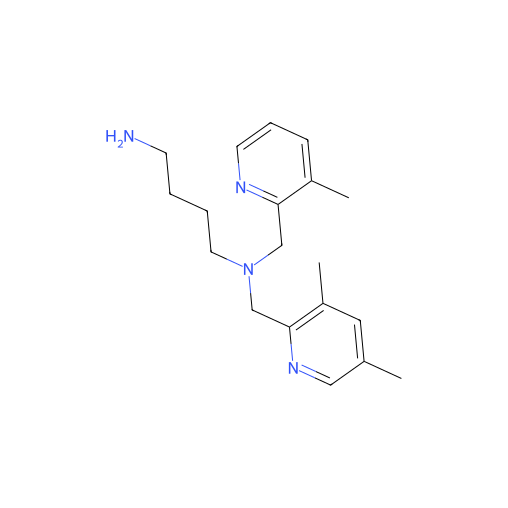 Cc1cnc(CN(CCCCN)Cc2ncccc2C)c(C)c1